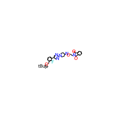 CC(C)(C)[Si](C)(C)OCc1cccc(-c2cnc(N3CCC(=NOCCN4C(=O)c5ccccc5C4=O)CC3)nc2)c1F